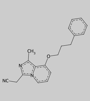 Cc1nc(CC#N)n2cccc(OCCCc3ccccc3)c12